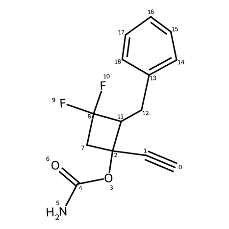 C#CC1(OC(N)=O)CC(F)(F)C1Cc1ccccc1